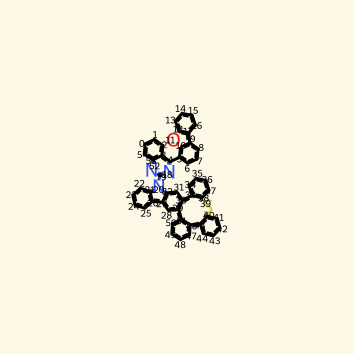 c1ccc2c(-c3cccc4c3oc3ccccc34)nc(-n3c4ccccc4c4cc5c(cc43)c3ccccc3sc3ccccc3c3ccccc35)nc2c1